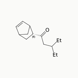 CCC(CC)CC(=O)[C@@H]1CC2C=CC1C2